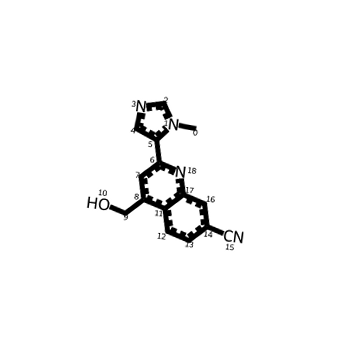 Cn1cncc1-c1cc(CO)c2ccc(C#N)cc2n1